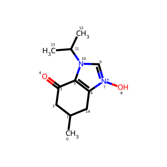 CC1CC(=O)c2c([n+](O)cn2C(C)C)C1